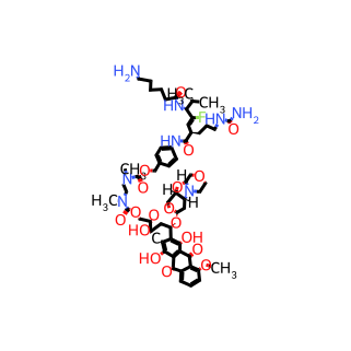 COc1cccc2c1C(=O)c1c(O)c3c(c(O)c1C2=O)C[C@@](O)(C(=O)COC(=O)N(C)CCN(C)C(=O)OCc1ccc(NC(=O)[C@@H](/C=C(\F)[C@@H](NC(=O)CCCCCN)C(C)C)CCCNC(N)=O)cc1)C[C@@H]3O[C@H]1C[C@H]2[C@@H](CO1)O[C@@H]1COCCN12